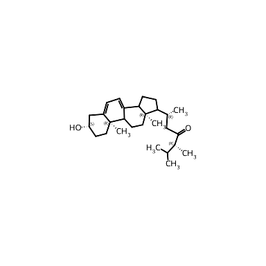 CC(C)[C@@H](C)C(=O)C[C@@H](C)C1CCC2C3=CC=C4C[C@@H](O)CC[C@]4(C)C3CC[C@@]21C